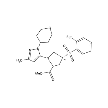 COC(=O)C1C[C@@H](S(=O)(=O)c2ccccc2C(F)(F)F)CN1c1cc(C)nn1C1CCOCC1